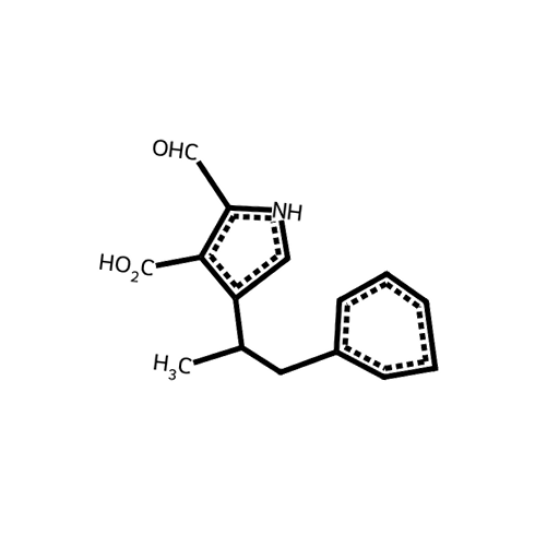 CC(Cc1ccccc1)c1c[nH]c(C=O)c1C(=O)O